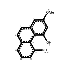 COc1cc(O)c2c(ccc3cccc(N)c32)c1